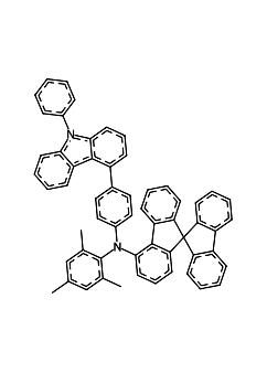 Cc1cc(C)c(N(c2ccc(-c3cccc4c3c3ccccc3n4-c3ccccc3)cc2)c2cccc3c2-c2ccccc2C32c3ccccc3-c3ccccc32)c(C)c1